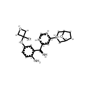 CCC1(Oc2ccc(N)c(C(=N)c3cc(N4CC5CCC(C4)O5)ncn3)c2)COC1